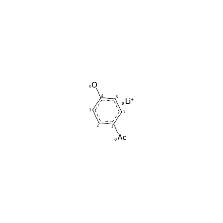 CC(=O)c1ccc([O-])cc1.[Li+]